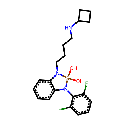 OS1(O)N(CCCCNC2CCC2)c2ccccc2N1c1c(F)cccc1F